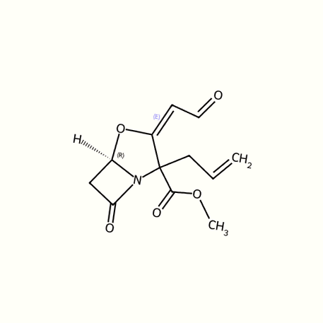 C=CCC1(C(=O)OC)/C(=C\C=O)O[C@@H]2CC(=O)N21